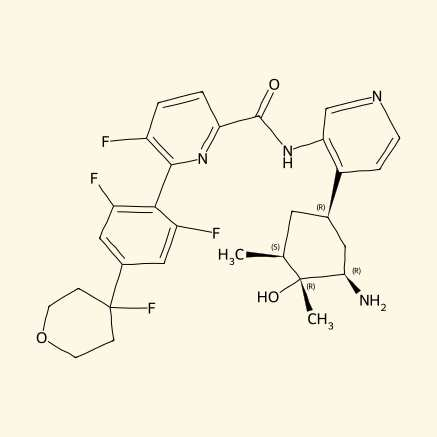 C[C@H]1C[C@@H](c2ccncc2NC(=O)c2ccc(F)c(-c3c(F)cc(C4(F)CCOCC4)cc3F)n2)C[C@@H](N)[C@]1(C)O